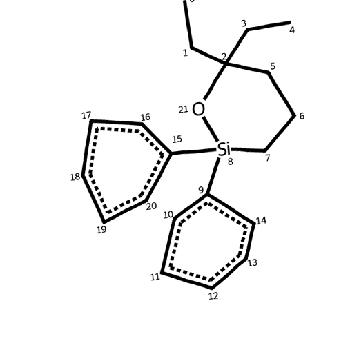 CCC1(CC)CCC[Si](c2ccccc2)(c2ccccc2)O1